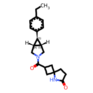 CCc1ccc([C@H]2[C@@H]3CN(C(=O)C4CC5(CCC(=O)N5)C4)C[C@@H]32)cc1